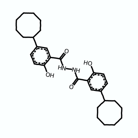 O=C(NNC(=O)c1cc(C2CCCCCCC2)ccc1O)c1cc(C2CCCCCCC2)ccc1O